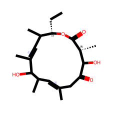 CC[C@@H]1OC(=O)[C@H](C)C(O)C(=O)C/C(C)=C/C(C)C(O)/C(C)=C/C1C